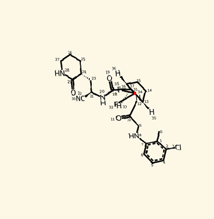 Cc1c(Cl)cccc1NCC(=O)N1[C@H]2CC[C@@H]([C@@H]1C(=O)N[C@@H](C#N)C[C@H]1CCCNC1=O)C(F)(F)C2